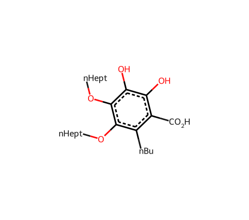 CCCCCCCOc1c(O)c(O)c(C(=O)O)c(CCCC)c1OCCCCCCC